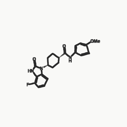 COc1ccc(NC(=O)[C@H]2CC[C@@H](n3c(=O)[nH]c4c(F)cccc43)CC2)cc1